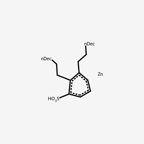 CCCCCCCCCCCCc1cccc(S(=O)(=O)O)c1CCCCCCCCCCCC.[Zn]